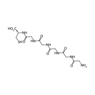 NCC(=O)NCC(=O)NCC(=O)NCC(=O)NCC(=O)N[C@@H](CS)C(=O)O